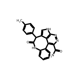 Cc1ccc(C2C(=O)Nc3ccccc3-c3c(C(N)=O)nnc4[nH]cc2c34)cc1